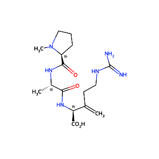 C=C(CCNC(=N)N)[C@H](NC(=O)[C@H](C)NC(=O)[C@@H]1CCCN1C)C(=O)O